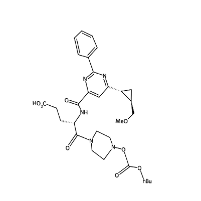 CCCCOC(=O)ON1CCN(C(=O)[C@H](CCC(=O)O)NC(=O)c2cc([C@@H]3C[C@H]3COC)nc(-c3ccccc3)n2)CC1